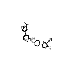 COc1ccc([C@H]2CC[C@H](CNc3cc(-c4cnn(C(C)C)c4)ccn3)CC2)nc1C#N